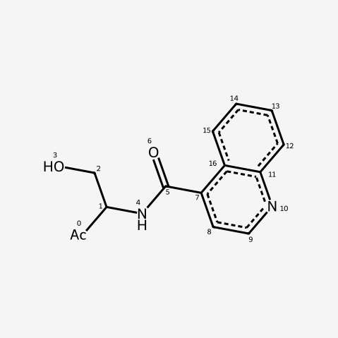 CC(=O)C(CO)NC(=O)c1ccnc2ccccc12